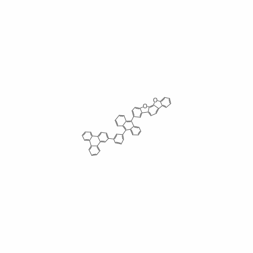 c1cc(-c2ccc3c4ccccc4c4ccccc4c3c2)cc(-c2c3ccccc3c(-c3ccc4oc5c(ccc6c7ccccc7oc65)c4c3)c3ccccc23)c1